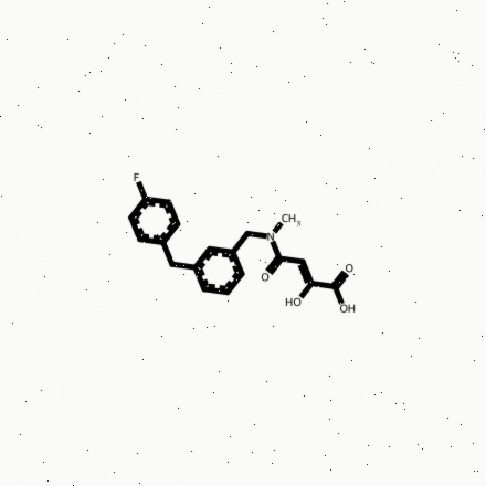 CN(Cc1cccc(Cc2ccc(F)cc2)c1)C(=O)/C=C(\O)C(=O)O